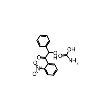 NC(=O)O.O=C(c1ccccc1[N+](=O)[O-])C(O)c1ccccc1